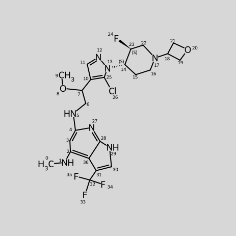 CNc1cc(NCC(OC)c2cnn([C@H]3CCN(C4COC4)C[C@@H]3F)c2Cl)nc2[nH]cc(C(F)(F)F)c12